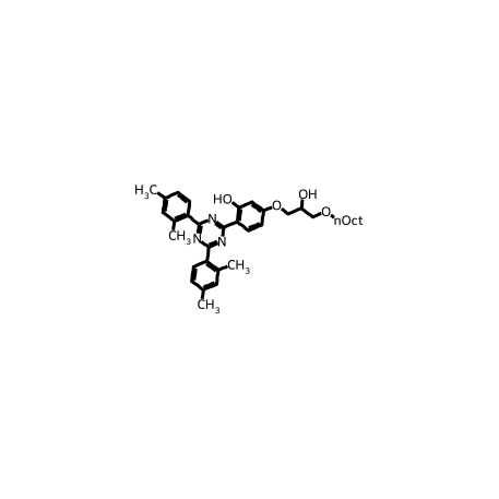 CCCCCCCCOCC(O)COc1ccc(-c2nc(-c3ccc(C)cc3C)nc(-c3ccc(C)cc3C)n2)c(O)c1